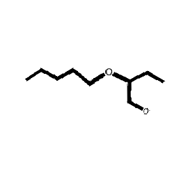 CCCCCOC(CC)C[O]